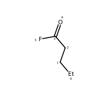 CCCCC(=O)F